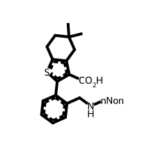 CCCCCCCCCNCc1ccccc1-c1sc2c(c1C(=O)O)CC(C)(C)CC2